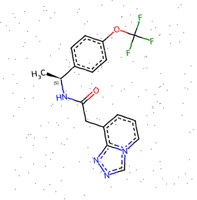 C[C@H](NC(=O)Cc1cccn2cnnc12)c1ccc(OC(F)(F)F)cc1